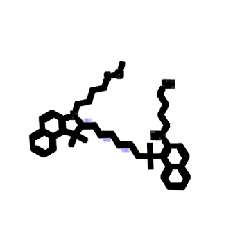 COSCCCCN1/C(=C/C=C/C=C/CC(C)(C)c2c(NCCCCS)ccc3ccccc23)C(C)(C)c2c1ccc1ccccc21